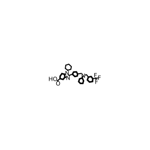 O=C(O)c1ccc2c(c1)nc(-c1ccc(CN(Cc3cccc(C(F)(F)F)c3)c3ccccc3)cc1)n2C1CCCCC1